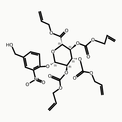 C=CCOC(=O)O[C@@H]1[C@@H](OC(=O)OCC=C)[C@H](Oc2ccc(CO)cc2[N+](=O)[O-])O[C@H](C(=O)OCC=C)[C@H]1OC(=O)OCC=C